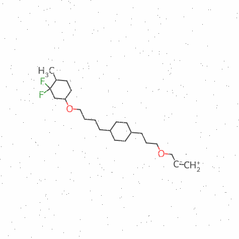 [CH2+][CH-]COCCCC1CCC(CCCCOC2CCC(C)C(F)(F)C2)CC1